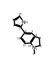 CN1CCc2cc(C3=CC=C[N]3)ccc21